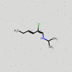 CC/C=C/C(Cl)=C\NC(C)C